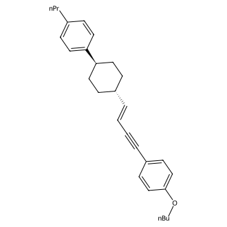 CCCCOc1ccc(C#CC=C[C@H]2CC[C@H](c3ccc(CCC)cc3)CC2)cc1